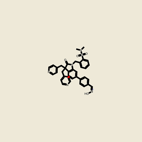 CN(C)S(=O)(=O)c1ccccc1CN1C(=O)C(Cc2ccncc2)(Cc2ccncc2)c2ccc(-c3ccc(/C=N\O)cc3)cc21